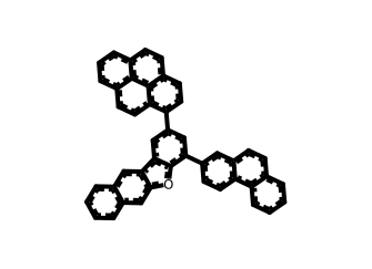 c1ccc2cc3c(cc2c1)oc1c(-c2ccc4c(ccc5ccccc54)c2)cc(-c2ccc4ccc5cccc6ccc2c4c56)cc13